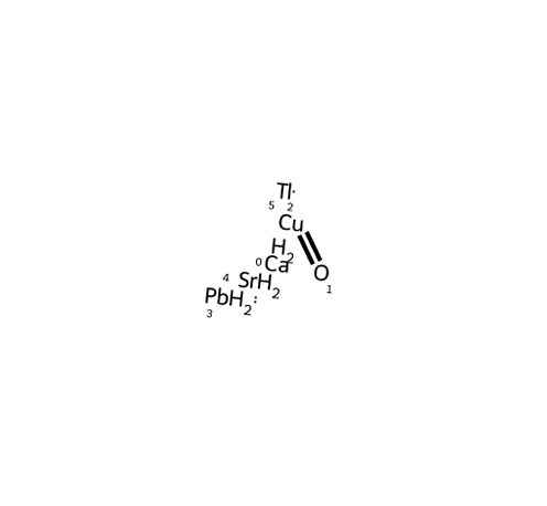 [CaH2].[O]=[Cu].[PbH2].[SrH2].[Tl]